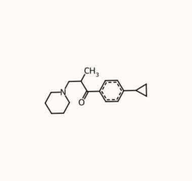 CC(CN1CCCCC1)C(=O)c1ccc(C2CC2)cc1